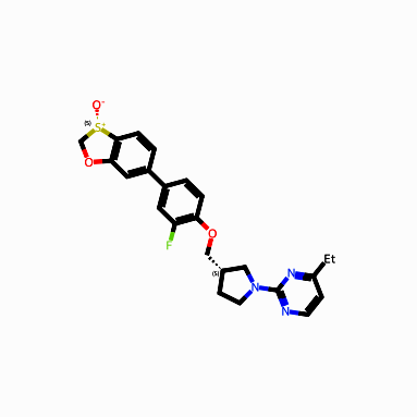 CCc1ccnc(N2CC[C@H](COc3ccc(-c4ccc5c(c4)OC[S@+]5[O-])cc3F)C2)n1